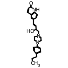 CCCc1ccc(N2CCN(CC(O)/C=C/c3ccc4[nH]c(=O)ccc4c3)CC2)cc1